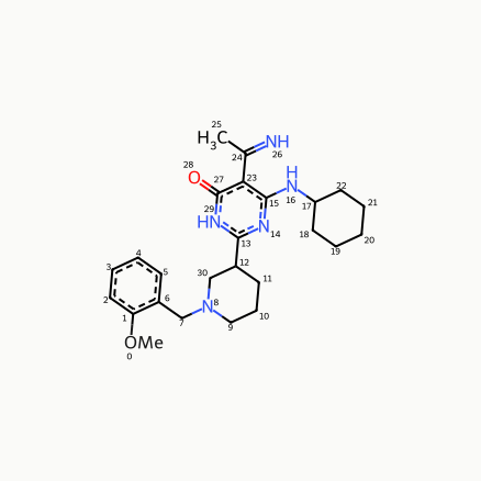 COc1ccccc1CN1CCCC(c2nc(NC3CCCCC3)c(C(C)=N)c(=O)[nH]2)C1